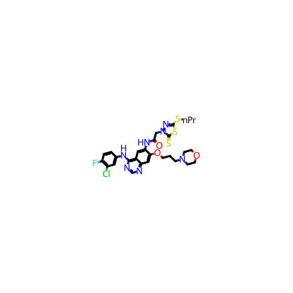 CCCSc1nn(CC(=O)Nc2cc3c(Nc4ccc(F)c(Cl)c4)ncnc3cc2OCCCN2CCOCC2)c(=S)s1